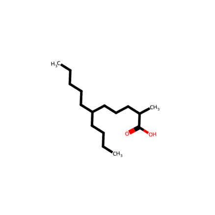 CCCCCC(CCCC)CCCC(C)C(=O)O